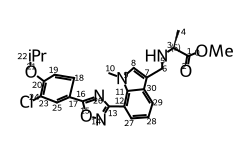 COC(=O)[C@H](C)NCc1cn(C)c2c(-c3noc(-c4ccc(OC(C)C)c(Cl)c4)n3)cccc12